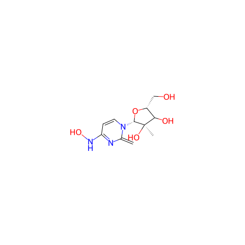 C=C1N=C(NO)C=CN1[C@@H]1O[C@H](CO)C(O)[C@@]1(C)O